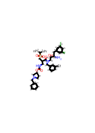 CCCC(CCC)S(=O)(=O)CC(CNC(=O)O[C@@H]1CCN(Cc2ccccc2)C1)C(=O)N(Cc1cccc(CC)c1)C[C@@H](O)[C@@H](N)Cc1cc(F)cc(F)c1